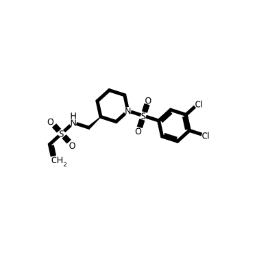 C=CS(=O)(=O)NC[C@H]1CCCN(S(=O)(=O)c2ccc(Cl)c(Cl)c2)C1